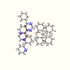 c1ccc(-c2cc(-c3ccccc3)nc(-c3cccc4c3Sc3c(-c5cc(-c6ccccn6)nc(-c6ccccn6)c5)cccc3C43c4ccccc4-c4ccccc43)n2)cc1